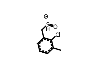 Cc1cc[c]c(C[SH](=O)=O)c1Cl